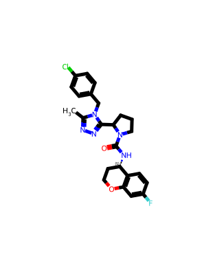 Cc1nnc(C2CCCN2C(=O)N[C@H]2CCOc3cc(F)ccc32)n1Cc1ccc(Cl)cc1